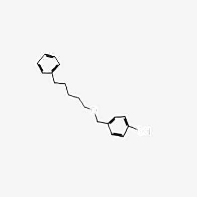 Oc1ccc(COCCCCCc2ccccc2)cc1